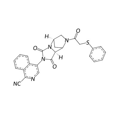 N#Cc1ncc(N2C(=O)[C@@H]3C4C[C@H](CN4C(=O)CSc4ccccc4)N3C2=O)c2ccccc12